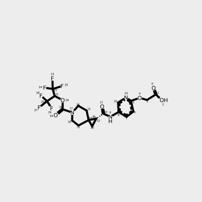 O=C(O)COc1ccc(NC(=O)[C@@H]2CC23CCN(C(=O)OC(C(F)(F)F)C(F)(F)F)CC3)cn1